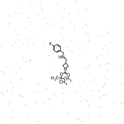 CC(C)(C)OC(=O)N1CC(CNCc2ccc(F)cc2)C1